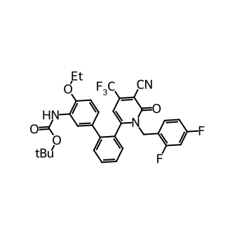 CCOc1ccc(-c2ccccc2-c2cc(C(F)(F)F)c(C#N)c(=O)n2Cc2ccc(F)cc2F)cc1NC(=O)OC(C)(C)C